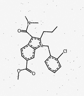 CCCc1c(C(=O)N(C)C)c2ccc(C(=O)OC)cc2n1Cc1ccccc1Cl